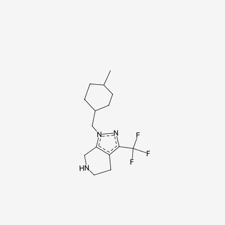 CC1CCC(Cn2nc(C(F)(F)F)c3c2CNCC3)CC1